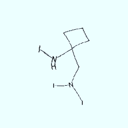 INC1(CN(I)I)CCC1